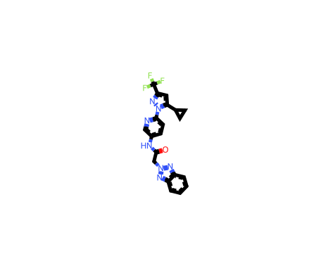 O=C(Cn1nc2ccccc2n1)Nc1ccc(-n2nc(C(F)(F)F)cc2C2CC2)nc1